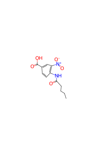 CCCCC(=O)Nc1ccc(C(=O)O)cc1[N+](=O)[O-]